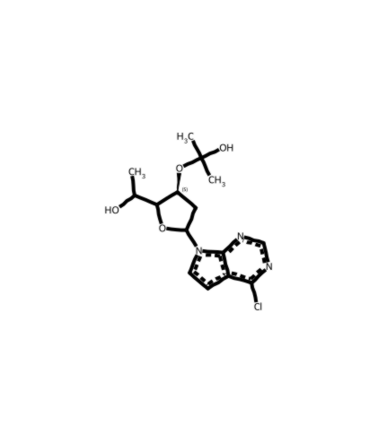 CC(O)C1OC(n2ccc3c(Cl)ncnc32)C[C@@H]1OC(C)(C)O